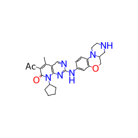 CC(=O)c1c(C)c2cnc(Nc3ccc4c(c3)OCC3CNCCN43)nc2n(C2CCCC2)c1=O